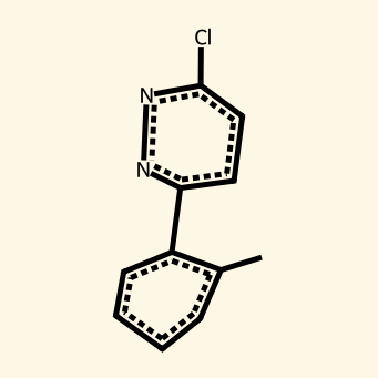 Cc1ccccc1-c1ccc(Cl)nn1